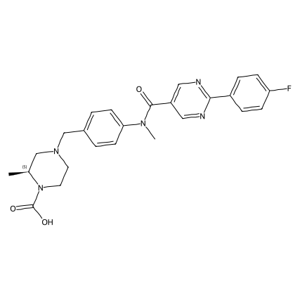 C[C@H]1CN(Cc2ccc(N(C)C(=O)c3cnc(-c4ccc(F)cc4)nc3)cc2)CCN1C(=O)O